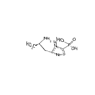 N[C@@H](Cc1ncc(P(=O)(O)O)[nH]1)C(=O)O